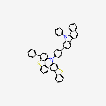 c1ccc(-c2ccc(N(c3ccc(-c4ccc5c6ccc7ccccc7c6n(-c6ccccc6)c5c4)cc3)c3ccc4c(c3)sc3ccccc34)c3c2sc2ccccc23)cc1